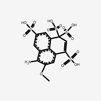 COc1cc2c3c(cc(S(=O)(=O)O)cc3c1N)C(S(=O)(=O)O)(S(=O)(=O)O)C=C2S(=O)(=O)O